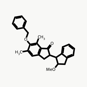 COC1Cc2ccccc2C1C1Cc2cc(C)c(OCc3ccccc3)c(C)c2C1=O